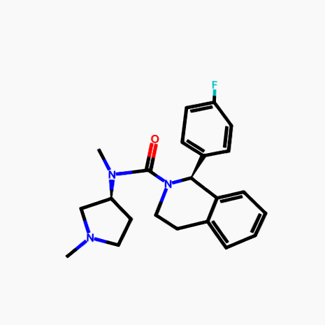 CN1CC[C@H](N(C)C(=O)N2CCc3ccccc3[C@@H]2c2ccc(F)cc2)C1